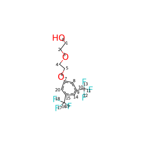 OCCOCCOc1cc(C(F)(F)F)cc(C(F)(F)F)c1